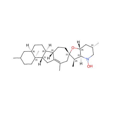 CC1=C2C[C@H]3[C@@H](CC[C@@H]4CC(C)CC[C@@]43C)[C@@H]2CC[C@@]2(C1)O[C@@H]1C[C@H](C)CN(O)[C@H]1[C@H]2C